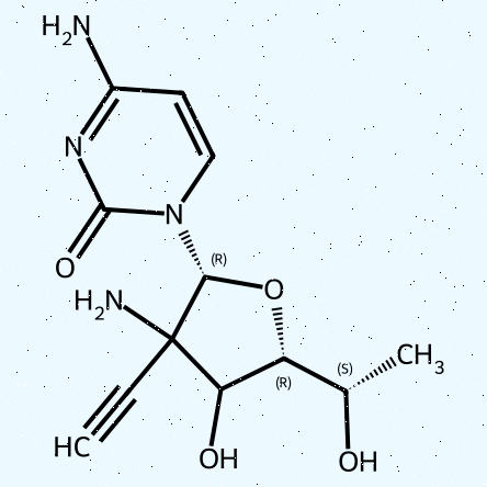 C#CC1(N)C(O)[C@@H]([C@H](C)O)O[C@H]1n1ccc(N)nc1=O